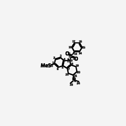 CSc1ccc2c(c1)c1c(n2S(=O)(=O)c2ccccc2)CCC(N(C)C)C1